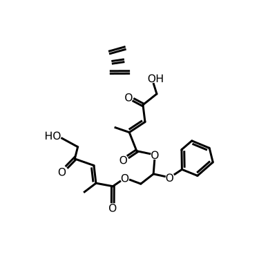 C=C.C=C.C=C.CC(=CC(=O)CO)C(=O)OCC(OC(=O)C(C)=CC(=O)CO)Oc1ccccc1